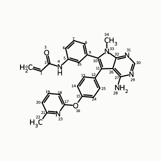 C=CC(=O)Nc1cccc(-c2c(-c3ccc(Oc4cccc(C)n4)cc3)c3c(N)ncnc3n2C)c1